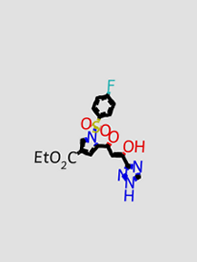 CCOC(=O)c1cc(C(=O)C=C(O)c2nc[nH]n2)n(S(=O)(=O)c2ccc(F)cc2)c1